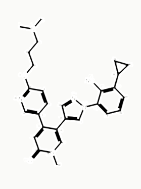 CN(C)CCCOc1ccc(-c2cc(=O)n(C)cc2-c2cnn(-c3cccc(C4CC4)c3C#N)c2)cn1